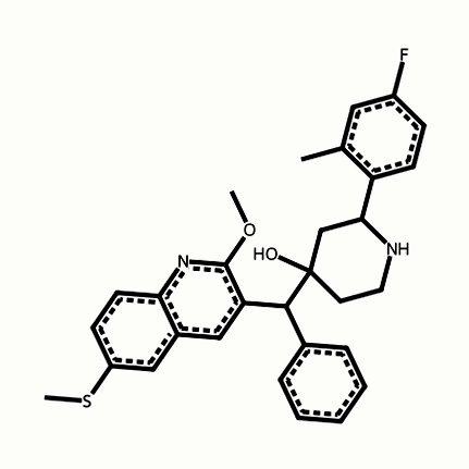 COc1nc2ccc(SC)cc2cc1C(c1ccccc1)C1(O)CCNC(c2ccc(F)cc2C)C1